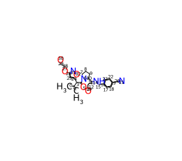 CC(C)C(C(=O)N1CCCC1C(=C=O)NCc1ccc(C#N)cc1)c1cc(OCC=O)no1